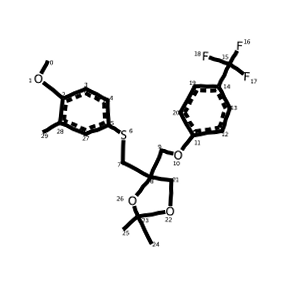 COc1ccc(SCC2(COc3ccc(C(F)(F)F)cc3)COC(C)(C)O2)cc1C